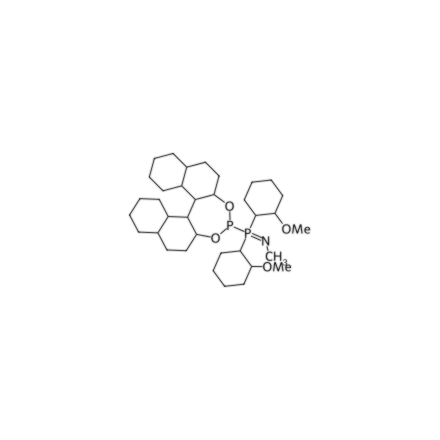 CN=P(C1CCCCC1OC)(C1CCCCC1OC)P1OC2CCC3CCCCC3C2C2C(CCC3CCCCC32)O1